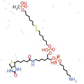 CP(=O)(O)OCCCCCCSSCCCCCCOP(=O)(O)OCC(CCCCNC(=O)CCCCC1SCC2NC(=O)NC21)COP(=O)(O)OCCCCCCN